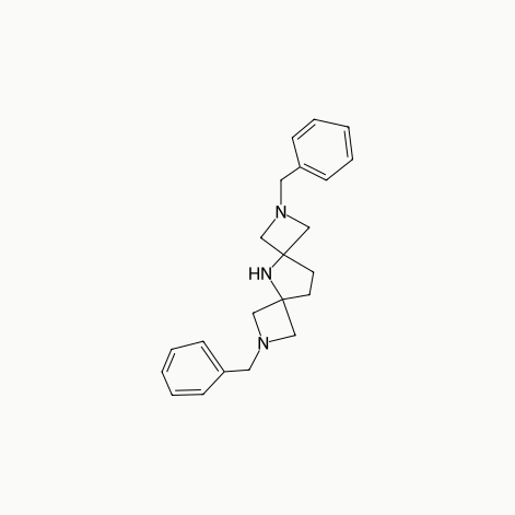 c1ccc(CN2CC3(CCC4(CN(Cc5ccccc5)C4)N3)C2)cc1